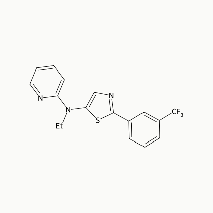 CCN(c1ccccn1)c1cnc(-c2cccc(C(F)(F)F)c2)s1